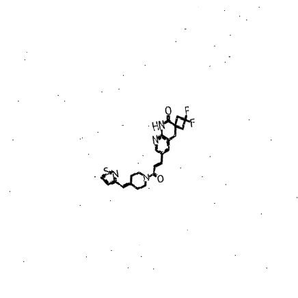 O=C(C=Cc1cnc2c(c1)CC1(CC(F)(F)C1)C(=O)N2)N1CCC(=Cc2ccsn2)CC1